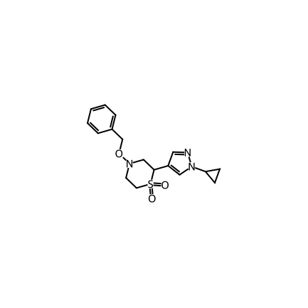 O=S1(=O)CCN(OCc2ccccc2)CC1c1cnn(C2CC2)c1